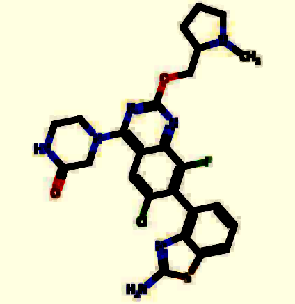 CN1CCCC1COc1nc(N2CCNC(=O)C2)c2cc(Cl)c(-c3cccc4sc(N)nc34)c(F)c2n1